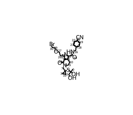 CC(O)(CO)SC1(CN2CCc3c(C(=O)NCc4ccc(C#N)cc4)nn(CCOCCBr)c3C2=O)CC1